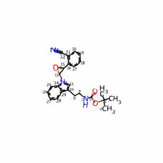 CC(C)(C)OC(=O)NCCc1cn(C2OC2c2ccccc2C#N)c2ccccc12